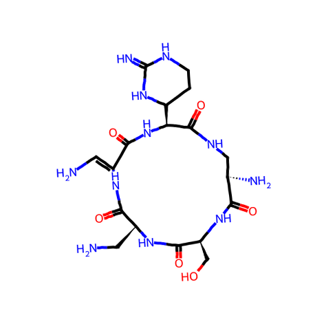 N=C1NCCC([C@@H]2NC(=O)/C(=C/N)NC(=O)[C@H](CN)NC(=O)[C@H](CO)NC(=O)[C@@H](N)CNC2=O)N1